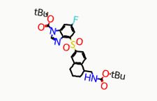 CC(C)(C)OC(=O)NCC1CCCc2cc(S(=O)(=O)c3cc(F)cc4c3ncn4C(=O)OC(C)(C)C)ccc21